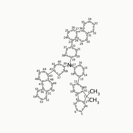 CC1(C)c2ccccc2-c2ccc(-c3cccc(N(c4ccc(-c5cccc6c5ccc5ccccc56)cc4)c4ccc(-c5cccc6c5ccc5ccccc56)cc4)c3)cc21